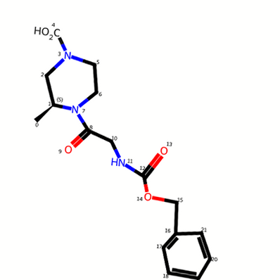 C[C@H]1CN(C(=O)O)CCN1C(=O)CNC(=O)OCc1ccccc1